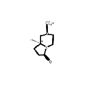 O=C(O)N1CCN2C(=O)CC[C@H]2C1